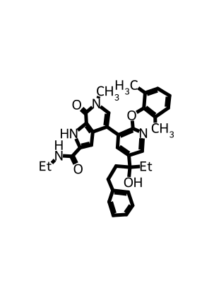 CCNC(=O)c1cc2c(-c3cc(C(O)(CC)CCc4ccccc4)cnc3Oc3c(C)cccc3C)cn(C)c(=O)c2[nH]1